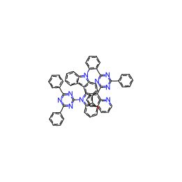 c1ccc(-c2nc(-c3ccccc3-n3c4ccccc4c4c3ccc3c5ccccc5n(-c5nc(-c6ccccc6)nc(-c6ccccc6)n5)c34)nc(-c3cccc4cccnc34)n2)cc1